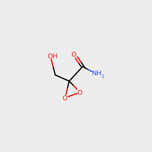 NC(=O)C1(CO)OO1